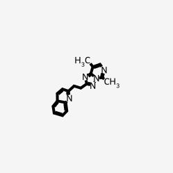 Cc1cnc(C)n2nc(CCc3ccc4ccccc4n3)nc12